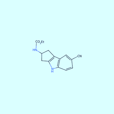 CCOC(=O)NC1Cc2[nH]c3ccc(C#N)cc3c2C1